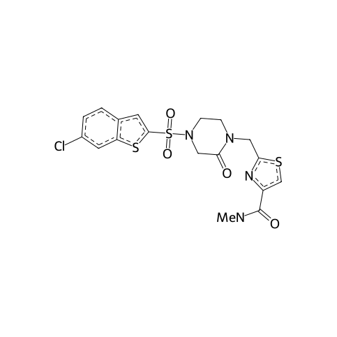 CNC(=O)c1csc(CN2CCN(S(=O)(=O)c3cc4ccc(Cl)cc4s3)CC2=O)n1